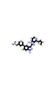 CN(C)Cc1cncc(-c2cc3c(-c4nc5c(-c6cccs6)nccc5[nH]4)n[nH]c3cc2F)c1